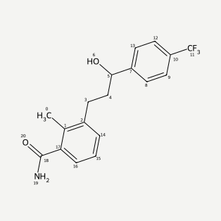 Cc1c(CCC(O)c2ccc(C(F)(F)F)cc2)cccc1C(N)=O